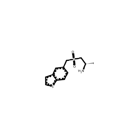 C[C@H](N)CS(=O)(=O)Cc1ccc2sccc2c1